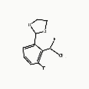 CC(F)c1c(F)cccc1C1OCCO1